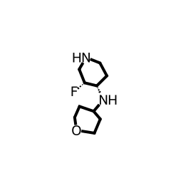 F[C@@H]1CNCC[C@@H]1NC1CCOCC1